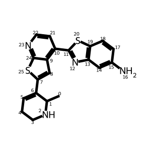 CC1NCCC=C1c1cc2c(-c3nc4cc(N)ccc4s3)ccnc2s1